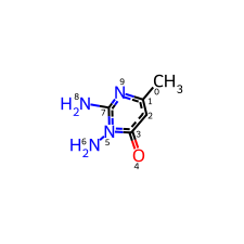 Cc1cc(=O)n(N)c(N)n1